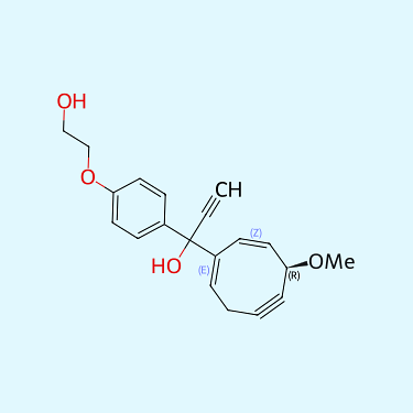 C#CC(O)(C1=C/CC#C[C@H](OC)/C=C\1)c1ccc(OCCO)cc1